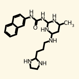 CC1CC(NCCCC2NCCN2)NC(NC(=O)Nc2ccc3ccccc3c2)N1